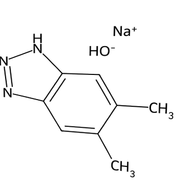 Cc1cc2nn[nH]c2cc1C.[Na+].[OH-]